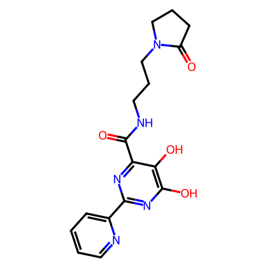 O=C(NCCCN1CCCC1=O)c1nc(-c2ccccn2)nc(O)c1O